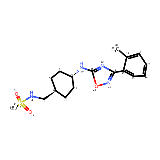 CC(C)(C)S(=O)(=O)NC[C@H]1CC[C@H](Nc2nc(-c3ccccc3C(F)(F)F)no2)CC1